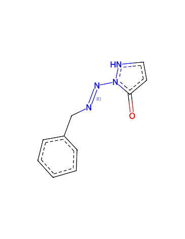 O=c1cc[nH]n1/N=N/Cc1ccccc1